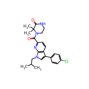 CC(C)Cn1cc(-c2ccc(Cl)cc2)c2ccc(C(=O)N3CCNC(=O)C3(C)C)nc21